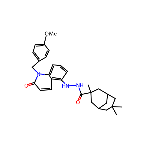 COc1ccc(Cn2c(=O)ccc3c(NNC(=O)C4(C)CC5CC(CC(C)(C)C5)C4)cccc32)cc1